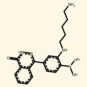 CCCN(CCC)c1ccc(-c2n[nH]c(=O)c3ccccc23)cc1NCCCCCN